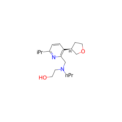 CCCN(CCO)Cc1nc(C(C)C)ccc1[C@H]1CCOC1